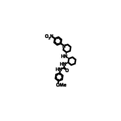 COc1ccc(NC(=O)N[C@@H]2CCCC[C@H]2N[C@H]2CCCN(c3ccc([N+](=O)[O-])cc3)C2)cc1